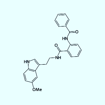 COc1ccc2[nH]cc(CCNC(=O)c3ccccc3NC(=O)c3ccccc3)c2c1